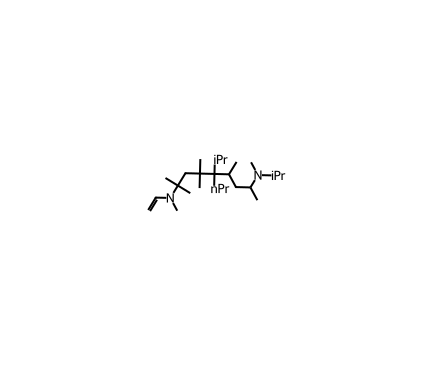 C=CN(C)C(C)(C)CC(C)(C)C(CCC)(C(C)C)C(C)CC(C)N(C)C(C)C